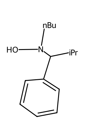 CCCCN(O)C(c1ccccc1)C(C)C